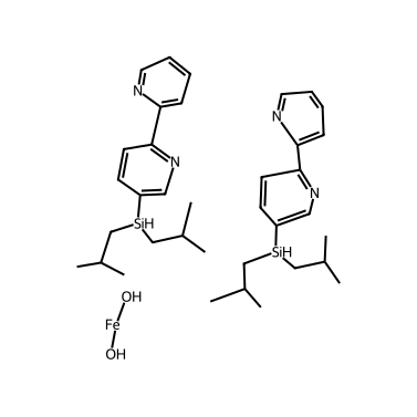 CC(C)C[SiH](CC(C)C)c1ccc(-c2ccccn2)nc1.CC(C)C[SiH](CC(C)C)c1ccc(-c2ccccn2)nc1.[OH][Fe][OH]